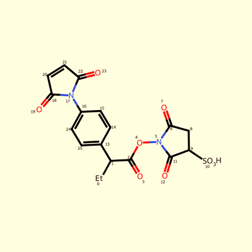 CCC(C(=O)ON1C(=O)CC(S(=O)(=O)O)C1=O)c1ccc(N2C(=O)C=CC2=O)cc1